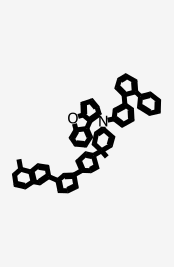 CC1CC=Cc2cc(-c3cccc(-c4ccc(C5(C)C=CC(N(c6cccc(-c7ccccc7-c7ccccc7)c6)c6cccc7oc8ccccc8c67)=CC5)cc4)c3)ccc21